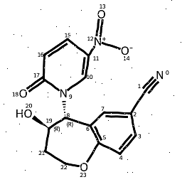 N#Cc1ccc2c(c1)[C@@H](n1cc([N+](=O)[O-])ccc1=O)[C@H](O)CCO2